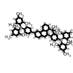 Cc1cc(C)c(B(c2ccc(-c3ccc4cc5c6c(cccc6c4c3)C(C)(C)c3cc(B(c4c(C)cc(C)cc4C)c4c(C)cc(C)cc4C)ccc3-5)cc2)c2c(C)cc(C)cc2C)c(C)c1